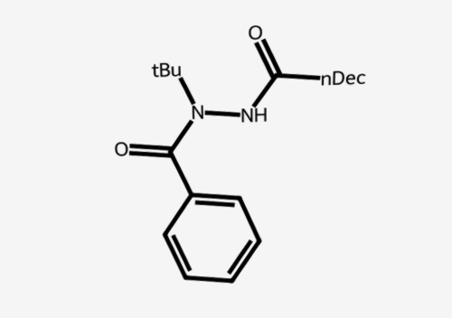 CCCCCCCCCCC(=O)NN(C(=O)c1ccccc1)C(C)(C)C